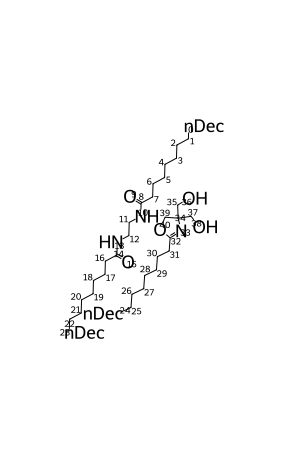 CCCCCCCCCCCCCCCCCC(=O)NCCNC(=O)CCCCCCCCCCCCCCCCC.CCCCCCCCCCCCCCCCCC1=NC(CO)(CO)CO1